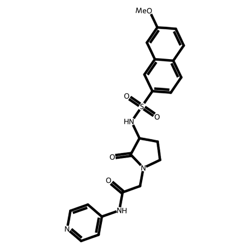 COc1ccc2ccc(S(=O)(=O)NC3CCN(CC(=O)Nc4ccncc4)C3=O)cc2c1